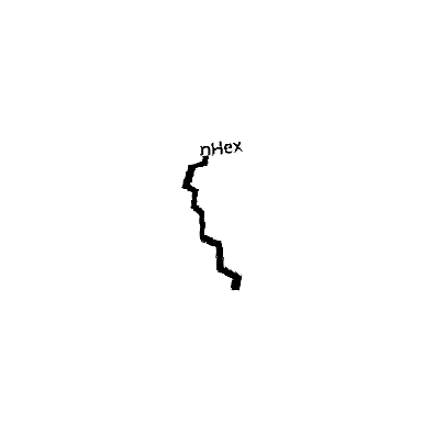 C=CCCCCCC/C=C\CCCCCCC